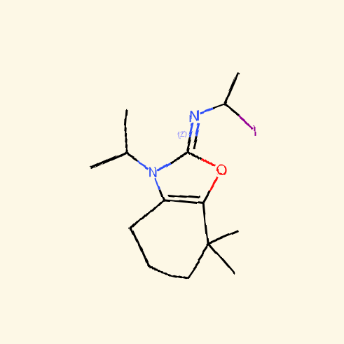 CC(I)/N=c1\oc2c(n1C(C)C)CCCC2(C)C